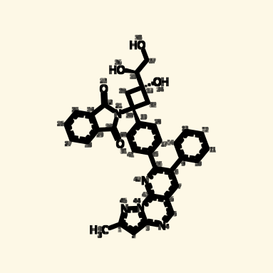 Cc1cc2ncc3cc(-c4ccccc4)c(-c4ccc([C@]5(N6C(=O)c7ccccc7C6=O)C[C@](O)([C@@H](O)CO)C5)cc4)nc3n2n1